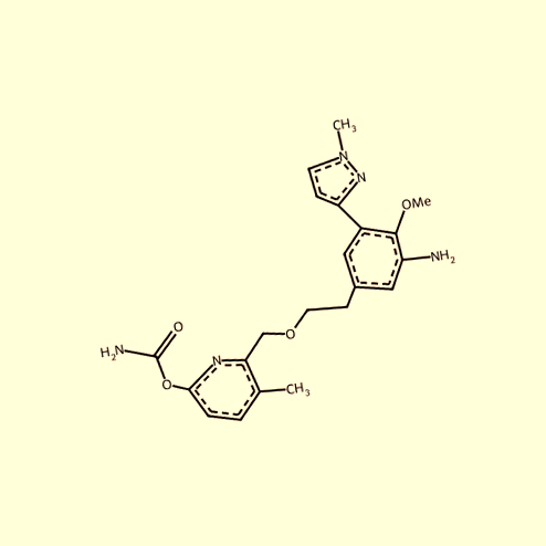 COc1c(N)cc(CCOCc2nc(OC(N)=O)ccc2C)cc1-c1ccn(C)n1